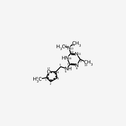 Cc1ccc(CNC2=NC(C)N=C(N(C)C)N2)o1